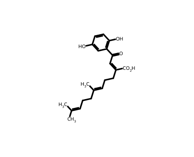 CC(C)=CCC/C(C)=C/CC/C(=C/C(=O)c1cc(O)ccc1O)C(=O)O